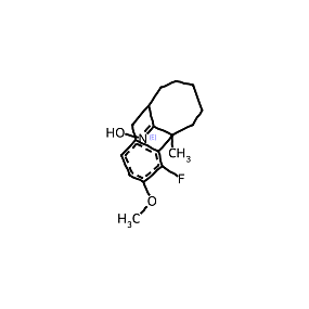 COc1ccc2c(c1F)C1(C)CCCCCC(C2)/C1=N\O